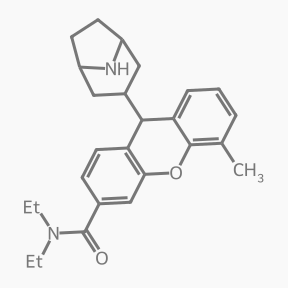 CCN(CC)C(=O)c1ccc2c(c1)Oc1c(C)cccc1C2C1CC2CCC(C1)N2